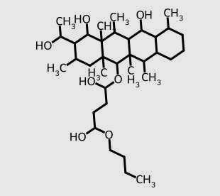 CCCCOC(O)CCC(O)OC1C2(C)C(C)C3CCCC(C)C3C(O)C2C(C)C2(C)C(O)C(C(C)O)C(C)CC12C